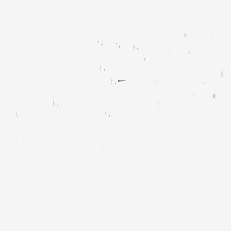 CC(Nc1cc(Cl)nc2c1cnn2[C@@H]1O[C@@H]2CO[Si](C(C)C)(C(C)C)O[Si](C(C)C)(C(C)C)OC2[C@H]1N=[N+]=[N-])c1ccccc1F